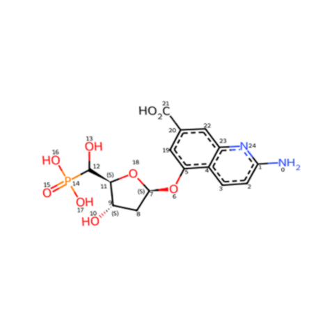 Nc1ccc2c(O[C@H]3C[C@H](O)[C@@H](C(O)P(=O)(O)O)O3)cc(C(=O)O)cc2n1